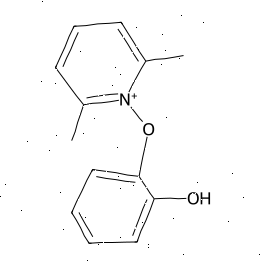 Cc1cccc(C)[n+]1Oc1ccccc1O